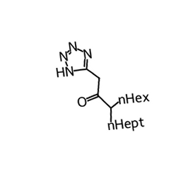 CCCCCCCC(CCCCCC)C(=O)Cc1nnn[nH]1